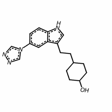 OC1CCC(CCc2c[nH]c3ccc(-n4cnnc4)cc23)CC1